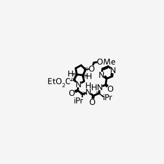 CCOC(=O)[C@@H]1[C@H]2CC[C@@H](OCOC)[C@H]2CN1C(=O)[C@@H](NC(=O)[C@@H](NC(=O)c1cnccn1)C(C)C)C(C)C